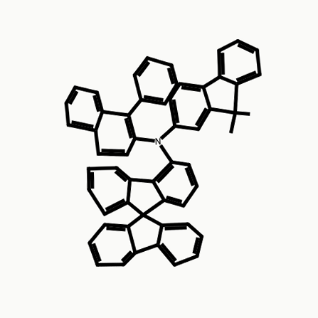 CC1(C)c2ccccc2-c2ccc(N(c3cccc4c3-c3ccccc3C43c4ccccc4-c4ccccc43)c3ccc4ccccc4c3-c3ccccc3)cc21